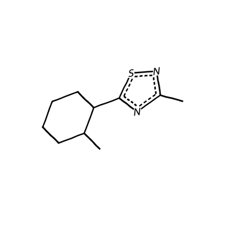 Cc1nsc(C2CCCCC2C)n1